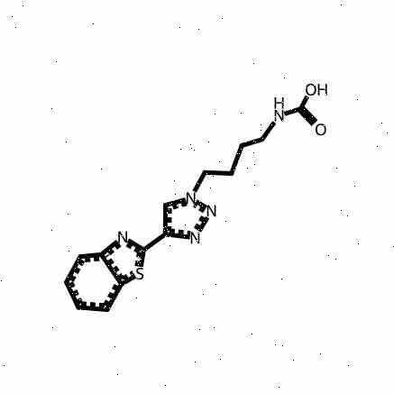 O=C(O)NCCCCn1cc(-c2nc3ccccc3s2)nn1